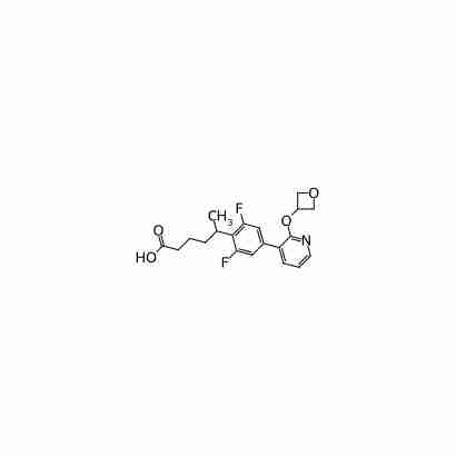 CC(CCCC(=O)O)c1c(F)cc(-c2cccnc2OC2COC2)cc1F